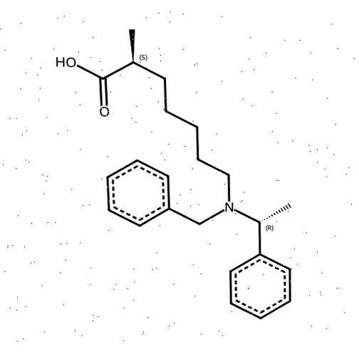 C[C@H](c1ccccc1)N(CCCCC[C@H](C)C(=O)O)Cc1ccccc1